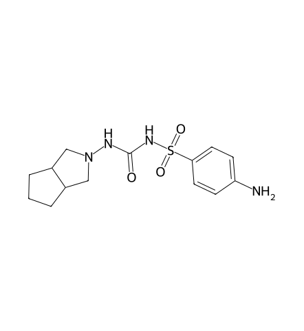 Nc1ccc(S(=O)(=O)NC(=O)NN2CC3CCCC3C2)cc1